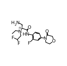 CCN(CC(F)F)[C@@H](CN)C(=O)Nc1ccc(N2CCOCC2=O)cc1F